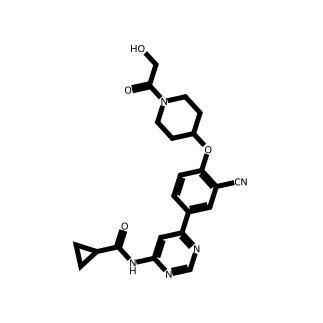 N#Cc1cc(-c2cc(NC(=O)C3CC3)ncn2)ccc1OC1CCN(C(=O)CO)CC1